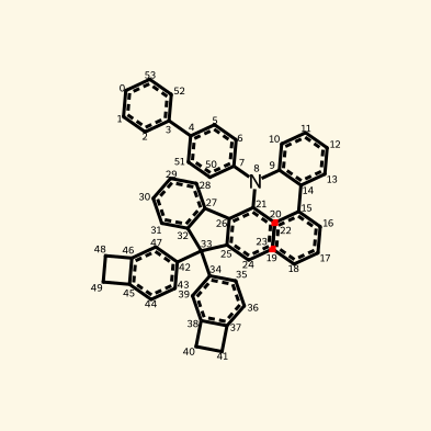 c1ccc(-c2ccc(N(c3ccccc3-c3ccccc3)c3cccc4c3-c3ccccc3C4(c3ccc4c(c3)CC4)c3ccc4c(c3)CC4)cc2)cc1